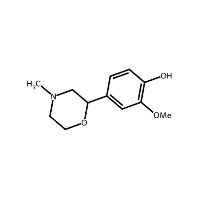 COc1cc(C2CN(C)CCO2)ccc1O